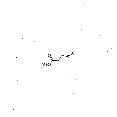 COC(=O)CCSCl